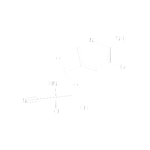 CCC(Cl)(C#N)NS(=O)(=O)c1cnc(N)c(Br)c1